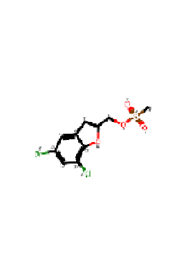 CS(=O)(=O)OCC1Cc2cc(Br)cc(Cl)c2O1